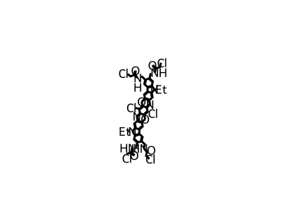 CCn1c2cc(CNC(=O)CCl)c(CNC(=O)CCl)cc2c2cc3c(cc21)N=c1c(Cl)c2c(c(Cl)c1O3)=Nc1cc3c(cc1O2)c1cc(CNC(=O)CCl)c(CNC(=O)CCl)cc1n3CC